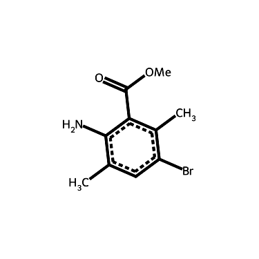 COC(=O)c1c(C)c(Br)cc(C)c1N